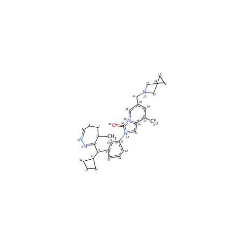 CC1CCC=NN=C1C(c1cccc(-n2cc3c(C(F)(F)F)cc(CN4CC5(CC5)C4)cn3c2=O)c1)C1CCC1